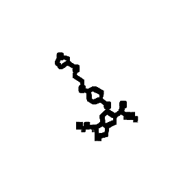 Cn1ncc2cc(C(N)=O)c(Oc3ccc(OCCOC4CCOC4)cc3)cc21